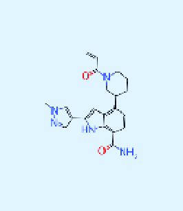 C=CC(=O)N1CCC[C@@H](c2ccc(C(N)=O)c3[nH]c(-c4cnn(C)c4)cc23)C1